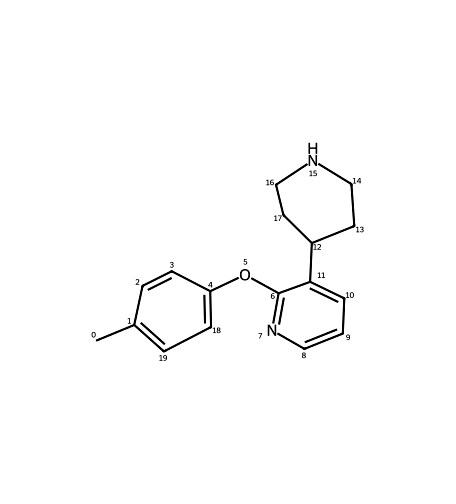 Cc1ccc(Oc2ncccc2C2CCNCC2)cc1